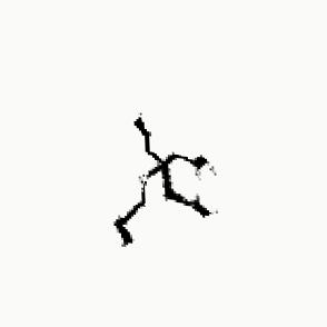 C=CCOC(CC=C)(CC=C)CC=C